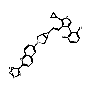 Clc1cccc(Cl)c1-c1noc(C2CC2)c1C=CC1C2CN(c3ccc4nc(-c5nnn[nH]5)ccc4c3)CC12